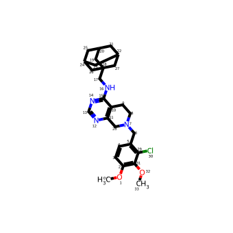 COc1ccc(CN2CCc3c(ncnc3NCC34CC5CC(CC(C5)C3)C4)C2)c(Cl)c1OC